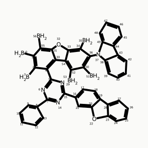 Bc1c(B)c(-c2nc(-c3ccccc3)nc(-c3ccc4c(c3)oc3ccccc34)n2)c2c(oc3c(B)c(-n4c5ccccc5c5ccccc54)c(B)c(B)c32)c1B